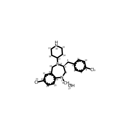 CN1C[C@H](Cc2ccc(Cl)cc2)N(C2CCNCC2)Cc2cc(Cl)ccc21.Cl